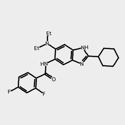 CCN(CC)c1cc2[nH]c(C3CCCCC3)nc2cc1NC(=O)c1ccc(F)cc1F